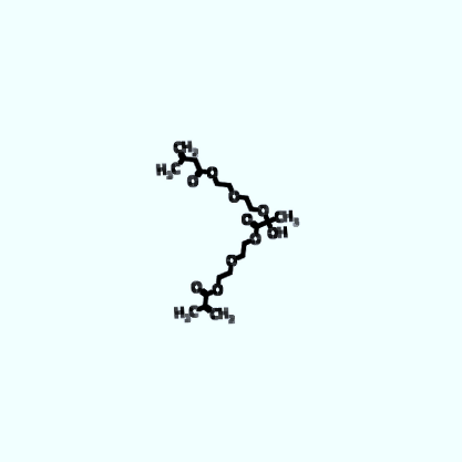 C=C(C)CC(=O)OCCOCCOC(C)(O)C(=O)OCCOCCOC(=O)C(=C)C